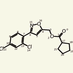 O=C(OCc1cc(-c2ccc(Cl)cc2Cl)no1)C1CCCC1